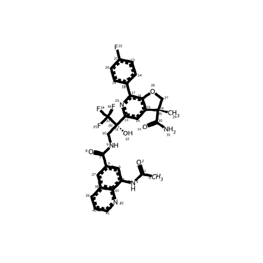 CC(=O)Nc1cc(C(=O)NC[C@](O)(c2cc3c(c(-c4ccc(F)cc4)n2)OC[C@]3(C)C(N)=O)C(F)(F)F)cc2cccnc12